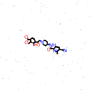 Cc1nc(C(=O)NC2CCN(CC(O)c3ccc4c(c3C)COC4=O)CC2)ccc1C#N